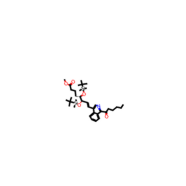 CCCCCC(=O)c1ncc(/C=C/[C@@H](O[Si](C)(C)C(C)(C)C)[C@H](CCCC(=O)OC)O[Si](C)(C)C(C)(C)C)c2ccccc12